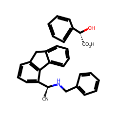 N#C[C@H](NCc1ccccc1)c1cccc2c1-c1ccccc1C2.O=C(O)[C@@H](O)c1ccccc1